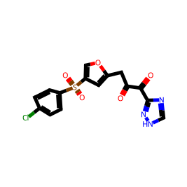 O=C(Cc1cc(S(=O)(=O)c2ccc(Cl)cc2)co1)C(=O)c1nc[nH]n1